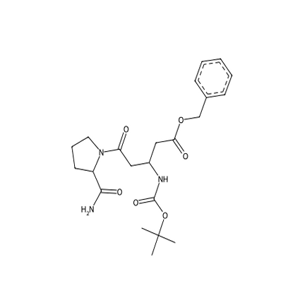 CC(C)(C)OC(=O)NC(CC(=O)OCc1ccccc1)CC(=O)N1CCCC1C(N)=O